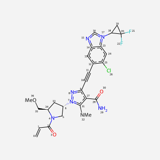 C=CC(=O)N1C[C@@H](n2nc(C#Cc3cc4ncn(C5CC5(F)F)c4cc3Cl)c(C(N)=O)c2NC)C[C@@H]1COC